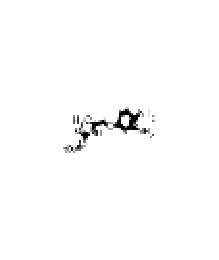 C[C@H](COc1ccc(N)c(N)c1)NC(=O)OC(C)(C)C